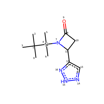 CC(C)(C)[Si](C)(C)N1C(=O)CC1c1cn[nH]n1